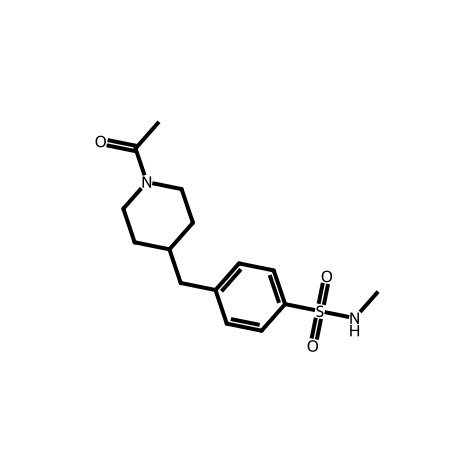 CNS(=O)(=O)c1ccc(CC2CCN(C(C)=O)CC2)cc1